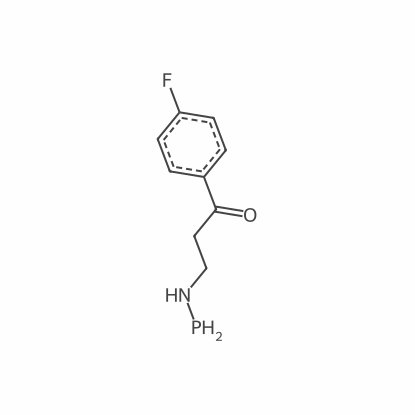 O=C(CCNP)c1ccc(F)cc1